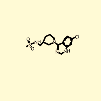 CS(=O)(=O)NCC1CCCN(C2=NCNc3cc(Cl)ccc32)C1